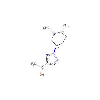 C[C@@H]1CC[C@@H](n2ncc([C@H](O)C(F)(F)F)n2)CN1C=O